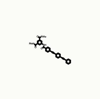 CNC(=O)c1cc(NC(=O)c2ccc(C#Cc3ccc(C#Cc4ccccc4)cc3)cc2)cc(C(=O)NC)c1